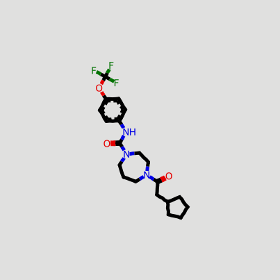 O=C(CC1CCCC1)N1CCCN(C(=O)Nc2ccc(OC(F)(F)F)cc2)CC1